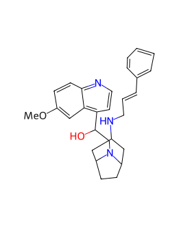 COc1ccc2nccc(C(O)CN3C4CCC3CC(NCC=Cc3ccccc3)C4)c2c1